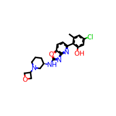 Cc1cc(Cl)cc(O)c1-c1ccc2oc(N[C@@H]3CCCN(C4COC4)C3)nc2n1